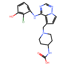 O=C(O)NC1CCN(Cc2ccn3ncnc(Nc4cccc(O)c4Cl)c23)CC1